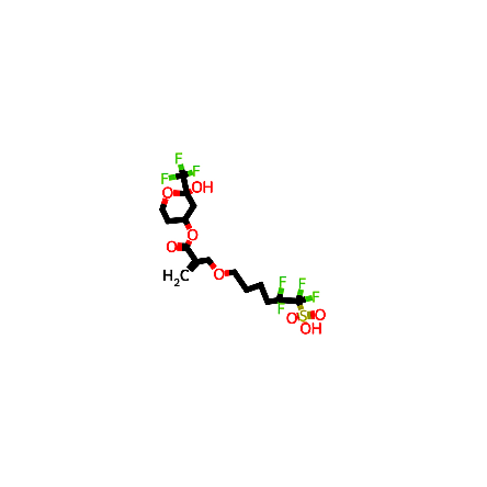 C=C(COCCCCC(F)(F)C(F)(F)S(=O)(=O)O)C(=O)OC1CCOC(O)(C(F)(F)F)C1